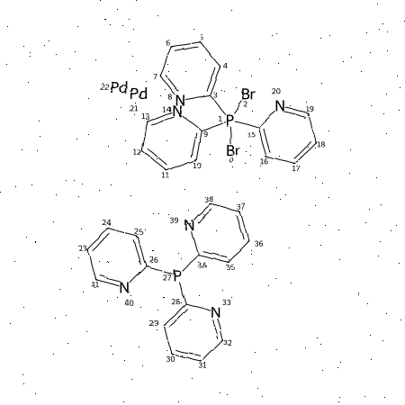 BrP(Br)(c1ccccn1)(c1ccccn1)c1ccccn1.[Pd].[Pd].c1ccc(P(c2ccccn2)c2ccccn2)nc1